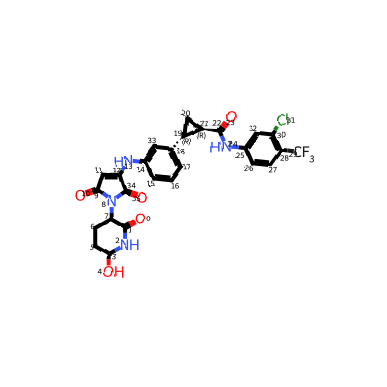 O=C1NC(O)CCC1N1C(=O)C=C(Nc2cccc([C@@H]3C[C@H]3C(=O)Nc3ccc(C(F)(F)F)c(Cl)c3)c2)C1=O